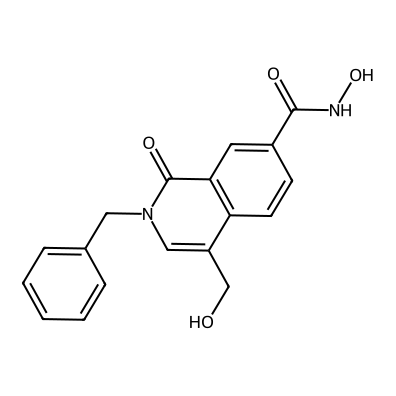 O=C(NO)c1ccc2c(CO)cn(Cc3ccccc3)c(=O)c2c1